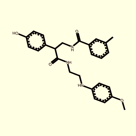 COc1ccc(NCCNC(=O)C(CNC(=O)c2cccc(C)c2)c2ccc(O)cc2)cc1